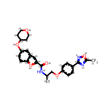 CCC(COc1ccc(-c2noc(C(F)(F)F)n2)cc1)NC(=O)c1cc2cc(OC3CCOCC3)ccc2o1